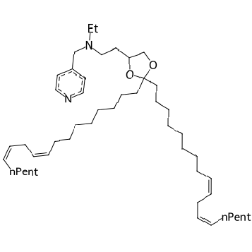 CCCCC/C=C\C/C=C\CCCCCCCCC1(CCCCCCCC/C=C\C/C=C\CCCCC)OCC(CCN(CC)Cc2ccncc2)O1